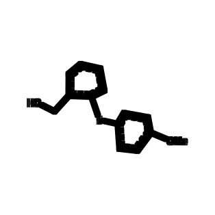 COc1ccc(Sc2ccccc2CO)cc1